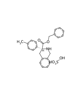 Cc1ccc([C@@]2(C(=O)OCc3ccccc3)Cc3ccccc3CN2)cc1.O=S(=O)(O)O